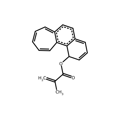 C=C(C)C(=O)OC1C=CC=c2ccc3c(c21)C=CC=CC=3